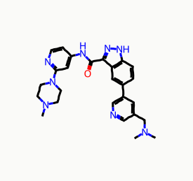 CN(C)Cc1cncc(-c2ccc3[nH]nc(C(=O)Nc4ccnc(N5CCN(C)CC5)c4)c3c2)c1